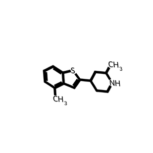 Cc1cccc2sc(C3CCNC(C)C3)cc12